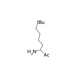 CC(=O)C(N)CCCCC(C)(C)C